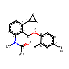 CCC(=O)N(CC)c1cccc(C2CC2)c1COc1ccc(CC)cc1C